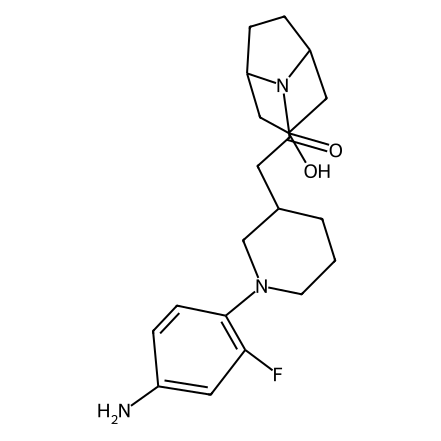 Nc1ccc(N2CCCC(CC(=O)N3C4CCC3CC(O)C4)C2)c(F)c1